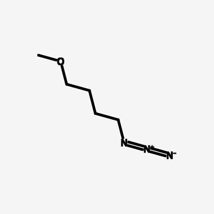 COCCCCN=[N+]=[N-]